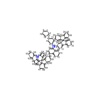 c1ccc(-c2ccc(N(c3ccc4c(c3)C3(c5ccccc5-c5ccccc53)c3ccccc3-4)c3ccc(-c4ccc5c(c4)C4(c6ccccc6-5)c5ccccc5-n5c6ccccc6c6cccc4c65)c4ccccc34)cc2)cc1